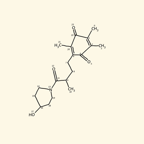 CC1=C(C)C(=O)C(CCC(C)C(=O)N2CCC(O)CC2)=C(C)C1=O